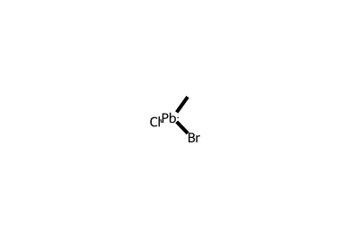 [CH3][Pb]([Cl])[Br]